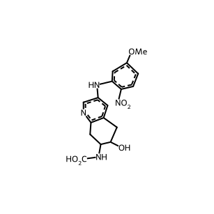 COc1ccc([N+](=O)[O-])c(Nc2cnc3c(c2)CC(O)C(NC(=O)O)C3)c1